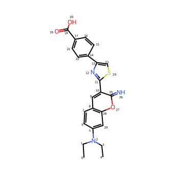 CCN(CC)c1ccc2cc(-c3nc(-c4ccc(C(=O)O)cc4)cs3)c(=N)oc2c1